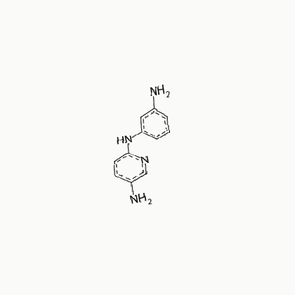 Nc1ccc(Nc2cccc(N)c2)nc1